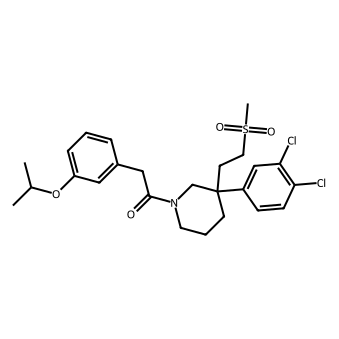 CC(C)Oc1cccc(CC(=O)N2CCCC(CCS(C)(=O)=O)(c3ccc(Cl)c(Cl)c3)C2)c1